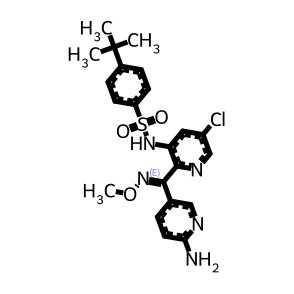 CO/N=C(\c1ccc(N)nc1)c1ncc(Cl)cc1NS(=O)(=O)c1ccc(C(C)(C)C)cc1